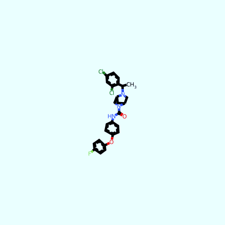 CC(c1ccc(Cl)cc1Cl)N1CC2CC1CN2C(=O)Nc1ccc(Oc2ccc(F)cc2)cc1